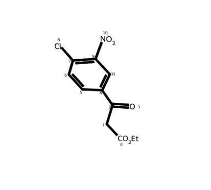 CCOC(=O)CC(=O)c1ccc(Cl)c([N+](=O)[O-])c1